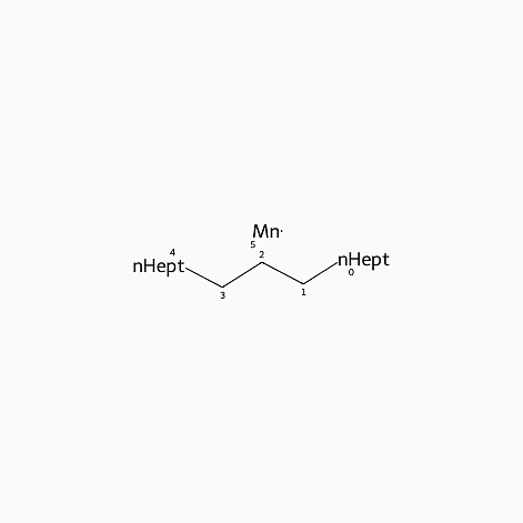 CCCCCCCCCCCCCCCCC.[Mn]